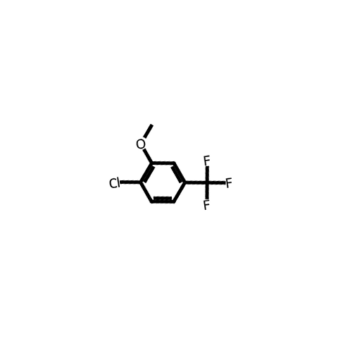 COc1cc(C(F)(F)F)ccc1Cl